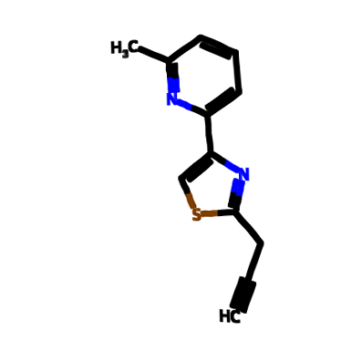 C#CCc1nc(-c2cccc(C)n2)cs1